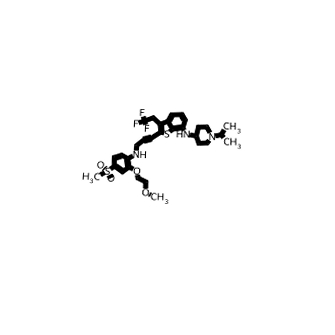 COCCOc1cc(S(C)(=O)=O)ccc1NCC#Cc1sc2c(NC3CCN(C(C)C)CC3)cccc2c1CC(F)(F)F